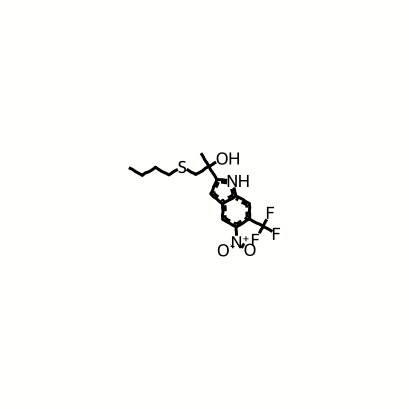 CCCCSCC(C)(O)c1cc2cc([N+](=O)[O-])c(C(F)(F)F)cc2[nH]1